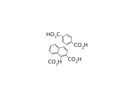 O=C(O)c1ccc(C(=O)O)cc1.O=C(O)c1ccc2ccccc2c1C(=O)O